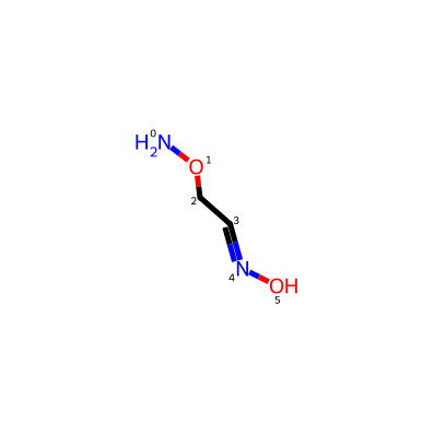 NOCC=NO